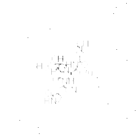 CN1CC(C(=O)N[C@H](C(=O)N2C[C@H]3[C@@H]([C@H]2C(=O)N[C@H](C#N)C[C@@H]2CCNC2=O)C3(C)C)C(C)(C)C)C1